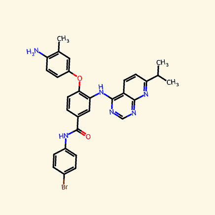 Cc1cc(Oc2ccc(C(=O)Nc3ccc(Br)cc3)cc2Nc2ncnc3nc(C(C)C)ccc23)ccc1N